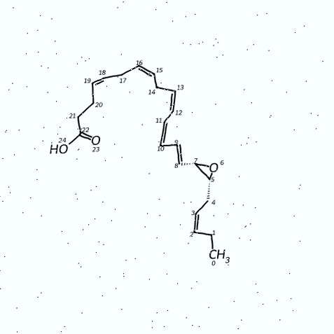 CC/C=C\C[C@H]1O[C@H]1/C=C/C=C\C=C/C/C=C\C/C=C\CCC(=O)O